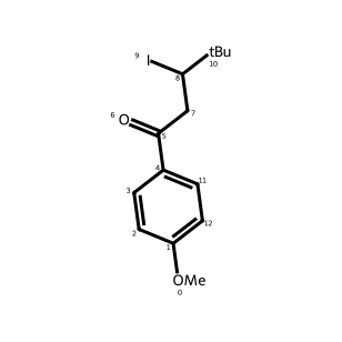 COc1ccc(C(=O)CC(I)C(C)(C)C)cc1